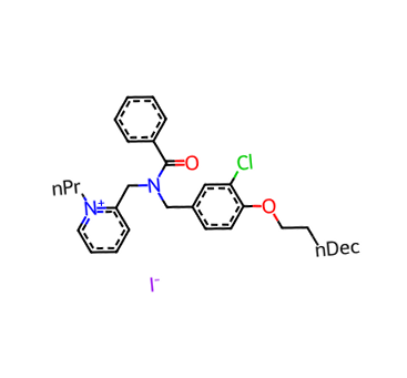 CCCCCCCCCCCCOc1ccc(CN(Cc2cccc[n+]2CCC)C(=O)c2ccccc2)cc1Cl.[I-]